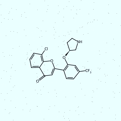 O=c1cc(-c2ccc(C(F)(F)F)cc2O[C@H]2CCNC2)oc2c(Cl)cccc12